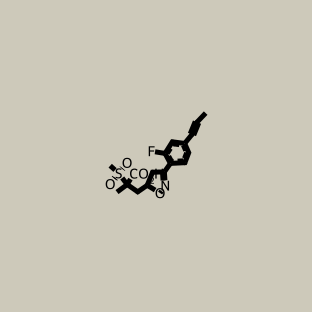 CC#Cc1ccc(C2=NOC(CC(C)(C(=O)O)S(C)(=O)=O)C2)c(F)c1